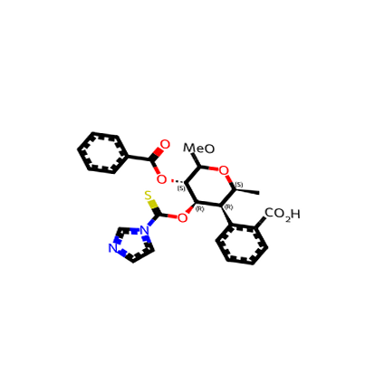 COC1O[C@@H](C)[C@@H](c2ccccc2C(=O)O)[C@@H](OC(=S)n2ccnc2)[C@@H]1OC(=O)c1ccccc1